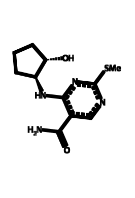 CSc1ncc(C(N)=O)c(N[C@H]2CCC[C@@H]2O)n1